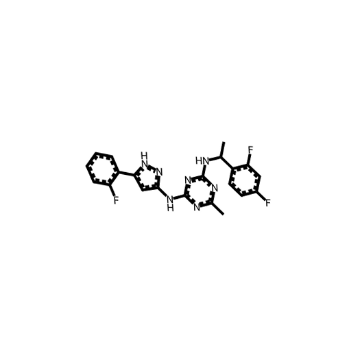 Cc1nc(Nc2cc(-c3ccccc3F)[nH]n2)nc(NC(C)c2ccc(F)cc2F)n1